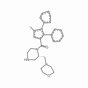 Cc1cc(C(=O)N2CCNC[C@H]2CN2CCOCC2)c(-c2ccccc2)n1-c1ccccc1